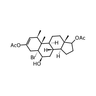 CC(=O)OC1=C[C@@H](C)[C@]2(C)[C@H]3CC[C@]4(C)C(OC(C)=O)CC[C@H]4[C@@H]3C[C@@H](O)[C@@]2(Br)C1